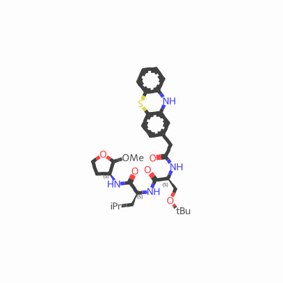 COC1OCC[C@@H]1NC(=O)[C@H](CC(C)C)NC(=O)[C@H](COC(C)(C)C)NC(=O)Cc1ccc2c(c1)Nc1ccccc1S2